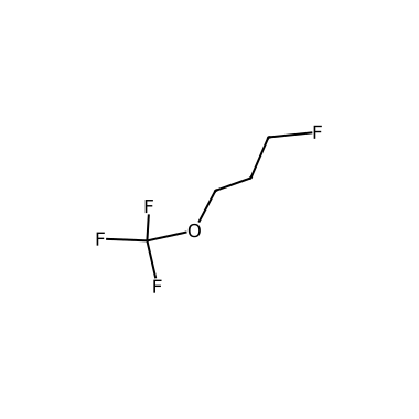 FCCCOC(F)(F)F